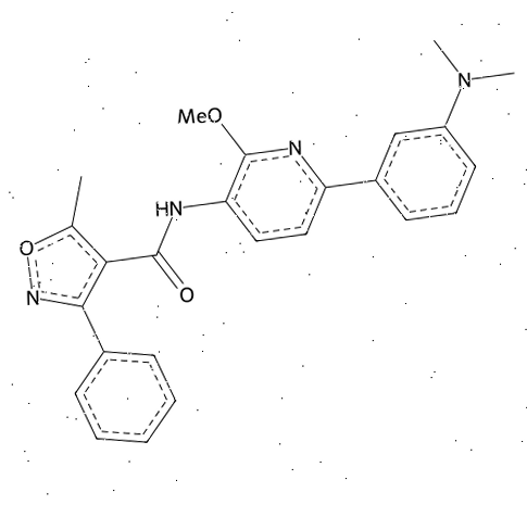 COc1nc(-c2cccc(N(C)C)c2)ccc1NC(=O)c1c(-c2ccccc2)noc1C